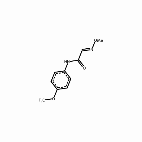 CON=CC(=O)Nc1ccc(OC(F)(F)F)cc1